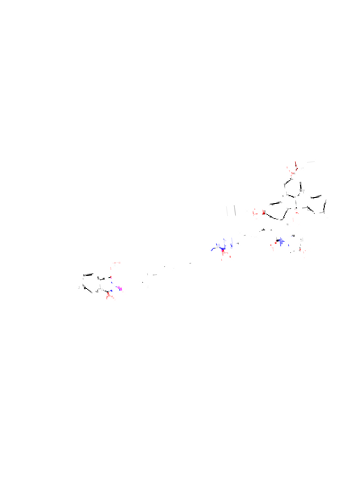 COc1ccc(C(OC[C@@H]2C[C@@H](O)CN2C(=O)CCCCCNC(=O)CCCCCCCCCCCON2C(=O)C3C=CC=CC3C2=O)(c2ccccc2)c2ccc(OC)cc2)cc1